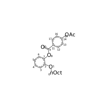 CCCCCCCCOc1ccccc1OC(=O)c1ccc(OC(C)=O)cc1